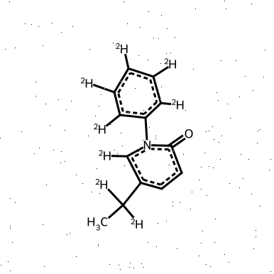 [2H]c1c([2H])c([2H])c(-n2c([2H])c(C([2H])([2H])C)ccc2=O)c([2H])c1[2H]